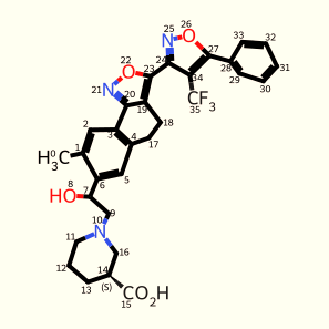 Cc1cc2c(cc1C(O)CN1CCC[C@H](C(=O)O)C1)CCc1c-2noc1-c1noc(-c2ccccc2)c1C(F)(F)F